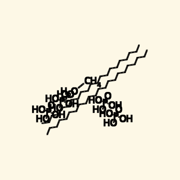 C.CC.CCCCCCCCCCCCCCCCCCCCC.CCCCCCCCCCCCCCCCCCCCCC.O.O.O=P(O)(O)O.O=P(O)(O)O.O=P(O)(O)O.O=P(O)(O)O